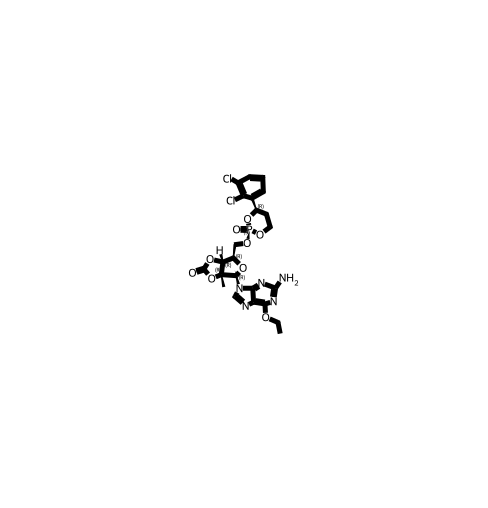 CCOc1nc(N)nc2c1ncn2[C@@H]1O[C@H](CO[P@]2(=O)OCC[C@H](c3cccc(Cl)c3Cl)O2)[C@H]2OC(=O)O[C@]21C